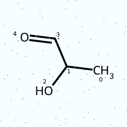 CC(O)[C]=O